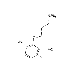 CNCCCOc1cc(C)ccc1C(C)C.Cl